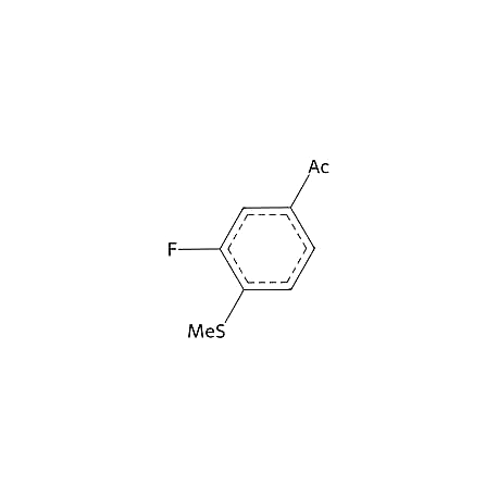 [CH2]C(=O)c1ccc(SC)c(F)c1